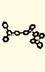 C1=CC2c3cccc(-c4cccc(-n5c6ccccc6c6cc(C7=CCC(C8=CC(C9CC=CCC9)=CC(c9ccccc9)N8)C=C7)ccc65)c4)c3N(c3ccccc3)C2C=C1